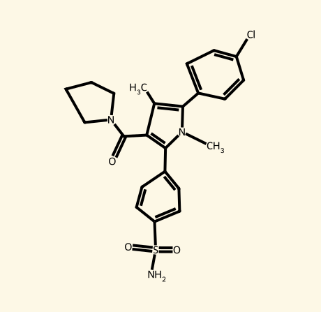 Cc1c(C(=O)N2CCCC2)c(-c2ccc(S(N)(=O)=O)cc2)n(C)c1-c1ccc(Cl)cc1